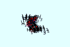 CC(C)(C)OC(=O)N1CCC(c2ccc(Br)cc2)CC1.CC(C)(C)OC(=O)N1CCC(c2ccc(C#C[Si](C)(C)C)cc2)CC1.CC(C)(C)OC(=O)N1CCC(c2ccc(C#C[Si](C)(C)C)cc2)CC1